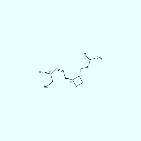 CC(=O)OC[C@@H]1CC[C@H]1C/C=C\[C@H](C)CO